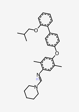 Cc1cc(Oc2ccc(-c3ccccc3OCC(C)C)cc2)c(C)cc1/N=C/N1CCCCC1